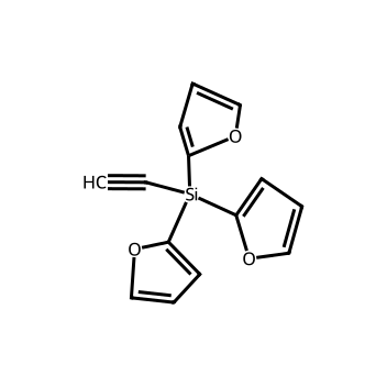 C#C[Si](c1ccco1)(c1ccco1)c1ccco1